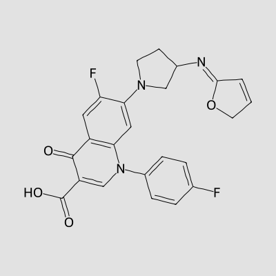 O=C(O)c1cn(-c2ccc(F)cc2)c2cc(N3CCC(N=C4C=CCO4)C3)c(F)cc2c1=O